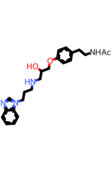 CC(=O)NCCc1ccc(OCC(O)CNCCCn2cnc3ccccc32)cc1